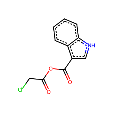 O=C(CCl)OC(=O)c1c[nH]c2ccccc12